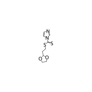 S=C(SCCC1OCCO1)n1ccnc1